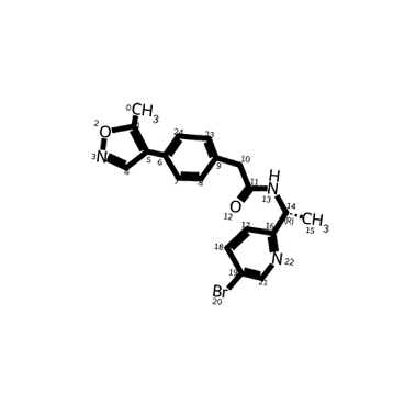 Cc1oncc1-c1ccc(CC(=O)N[C@H](C)c2ccc(Br)cn2)cc1